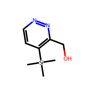 C[Si](C)(C)c1ccnnc1CO